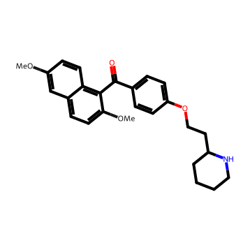 COc1ccc2c(C(=O)c3ccc(OCCC4CCCCN4)cc3)c(OC)ccc2c1